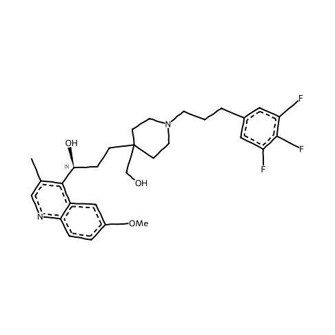 COc1ccc2ncc(C)c([C@@H](O)CCC3(CO)CCN(CCCc4cc(F)c(F)c(F)c4)CC3)c2c1